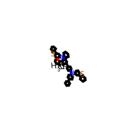 Cc1ccccc1-c1c(C)c(-c2ccc(N(c3ccc(-c4ccccc4)cc3)c3ccc4sc5ccccc5c4c3)cc2)cc2c3ccccc3n(-c3ccc4sc5ccccc5c4c3)c12